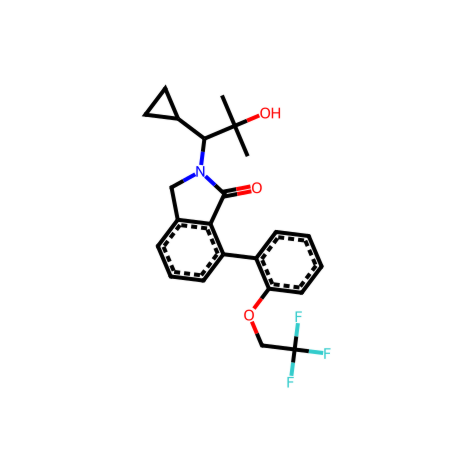 CC(C)(O)C(C1CC1)N1Cc2cccc(-c3ccccc3OCC(F)(F)F)c2C1=O